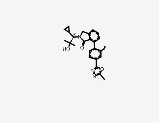 Cc1nnc(-c2ccc(-c3cccc4c3C(=O)N([C@H](C3CC3)C(C)(C)O)C4)c(F)c2)o1